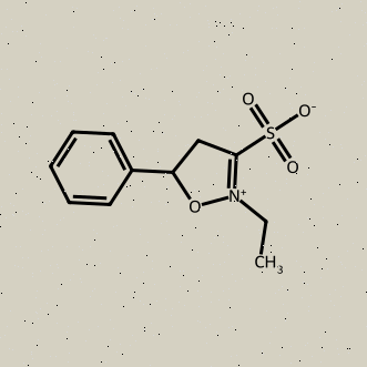 CC[N+]1=C(S(=O)(=O)[O-])CC(c2ccccc2)O1